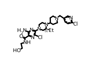 CC[C@H]1CN(c2nc(N)c(C(=O)NCCO)nc2Cl)CCN1C1CCN(Cc2ccc(Cl)nc2)CC1